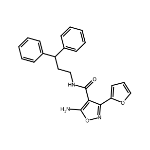 Nc1onc(-c2ccco2)c1C(=O)NCCC(c1ccccc1)c1ccccc1